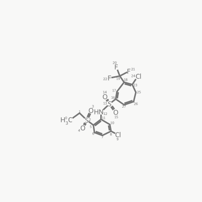 CCS(=O)(=O)c1ccc(Cl)cc1NS(=O)(=O)C1=CC(C(F)(F)F)=C(Cl)CC=C1